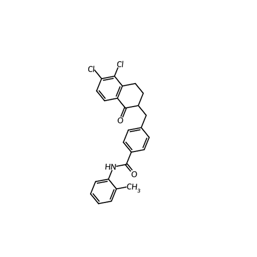 Cc1ccccc1NC(=O)c1ccc(CC2CCc3c(ccc(Cl)c3Cl)C2=O)cc1